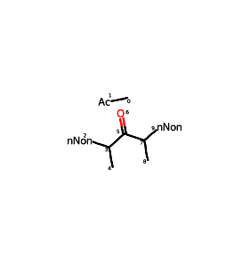 CC(C)=O.CCCCCCCCCC(C)C(=O)C(C)CCCCCCCCC